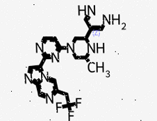 CC1CN(c2ccnc(-c3cnc4cnc(CC(F)(F)F)cn34)n2)CC(/C(C=N)=C/N)N1